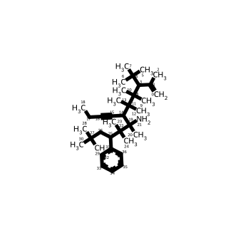 C=C(C)C(C(C)(C)C)C(C)(C)C(C)(C)C(C#CCC)C(C)(N)C(C)(C)C(CC(C)(C)C)c1ccccc1